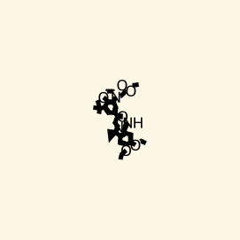 CCOC(=O)CN1CCOc2c1cc(C(=O)CN1C(=N)c3cc(OCC)c(OCC)cc3C13CC3)cc2C(C)(C)C